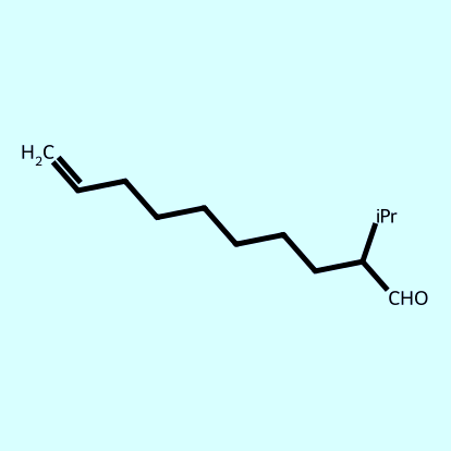 C=CCCCCCCC(C=O)C(C)C